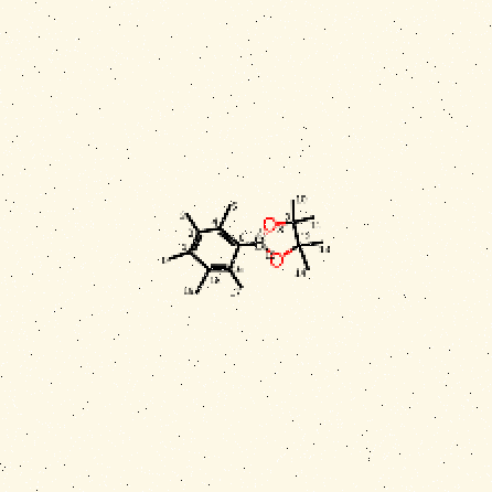 Cc1c(C)c(C)c(B2OC(C)(C)C(C)(C)O2)c(C)c1C